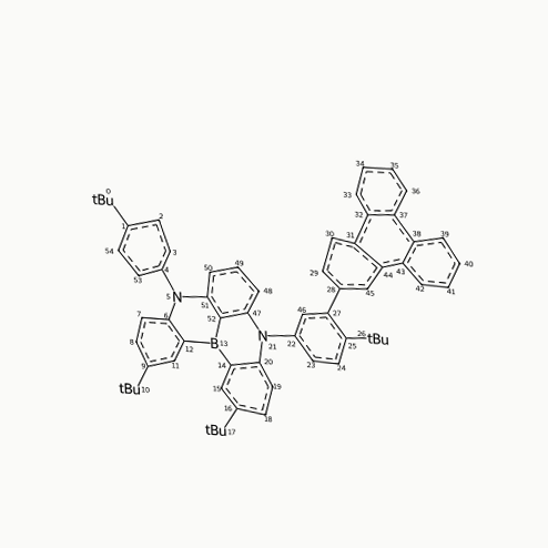 CC(C)(C)c1ccc(N2c3ccc(C(C)(C)C)cc3B3c4cc(C(C)(C)C)ccc4N(c4ccc(C(C)(C)C)c(-c5ccc6c7ccccc7c7ccccc7c6c5)c4)c4cccc2c43)cc1